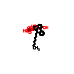 CCCCCCCCC(c1ccccc1)c1ccccc1-c1cc(O)ccc1O.O=P(O)(O)O